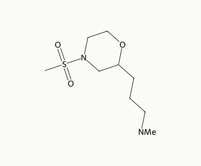 CNCCCC1CN(S(C)(=O)=O)CCO1